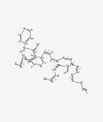 C=CC/C=C\C=C/N(\C=C/C=C\C=C/c1cccc(C)c1C(C)/C(=C\C=C/C)c1ccccc1)C(=C)/C=C\C=C/C